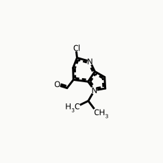 CC(C)n1ccc2nc(Cl)cc(C=O)c21